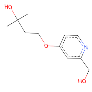 CC(C)(O)CCOc1ccnc(CO)c1